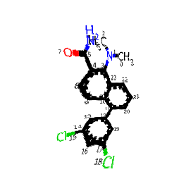 CN(C)c1c(C(N)=O)ccc2c(-c3cc(Cl)cc(Cl)c3)cccc12